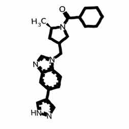 C[C@@H]1CC(Cn2cnc3cc(-c4cn[nH]c4)ccc32)CN1C(=O)C1CCCCC1